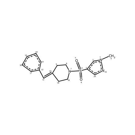 Cn1cc(S(=O)(=O)N2CCC(=Cc3ccccc3)CC2)cn1